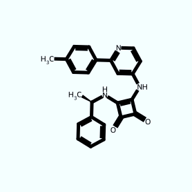 Cc1ccc(-c2cc(Nc3c(N[C@H](C)c4ccccc4)c(=O)c3=O)ccn2)cc1